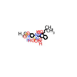 CC(C)CC[C@@]1(O)C(=O)C(C2=NS(O)(O)c3cc(NS(C)(=O)=O)ccc3N2)=C(O)c2ccccc21